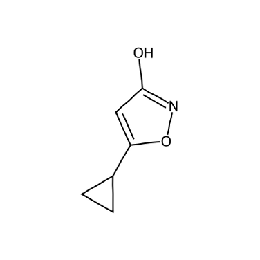 Oc1cc(C2CC2)on1